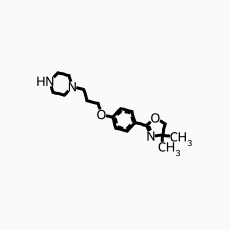 CC1(C)COC(c2ccc(OCCCN3CCNCC3)cc2)=N1